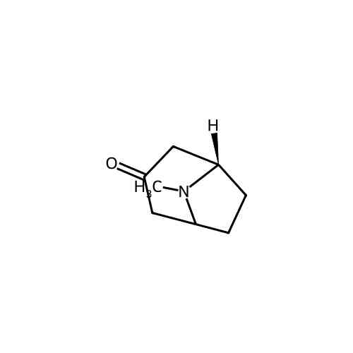 CN1C2CC[C@H]1CC(=O)C2